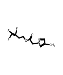 Cc1cnn(CC(=O)OCCC(F)=C(F)F)c1